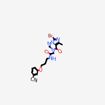 Cc1nc(Br)n2ncn(CC(=O)NCCCOc3cccc(C#N)c3)c(=O)c12